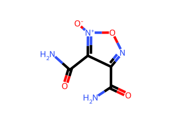 NC(=O)c1no[n+]([O-])c1C(N)=O